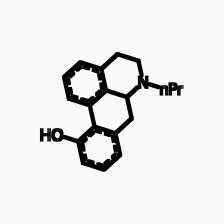 CCCN1CCc2cccc3c2C1Cc1cccc(O)c1-3